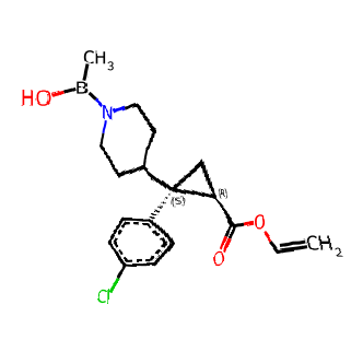 C=COC(=O)[C@@H]1C[C@]1(c1ccc(Cl)cc1)C1CCN(B(C)O)CC1